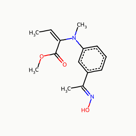 CC=C(C(=O)OC)N(C)c1cccc(C(C)=NO)c1